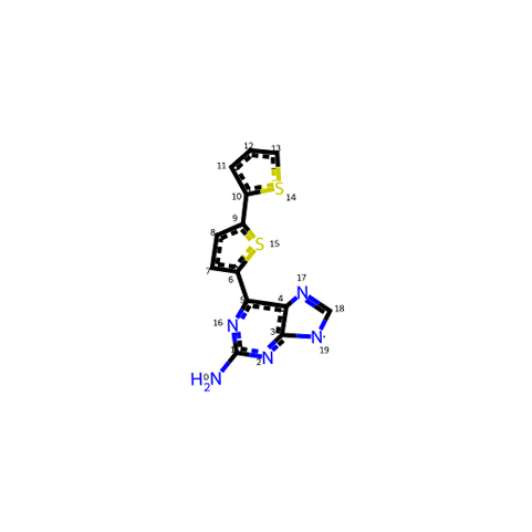 Nc1nc2c(c(-c3ccc(-c4cccs4)s3)n1)N=C[N]2